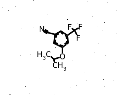 CC(C)Oc1cc(C#N)cc(C(F)(F)F)c1